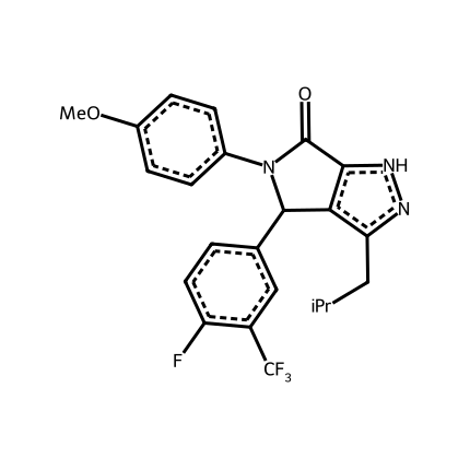 COc1ccc(N2C(=O)c3[nH]nc(CC(C)C)c3C2c2ccc(F)c(C(F)(F)F)c2)cc1